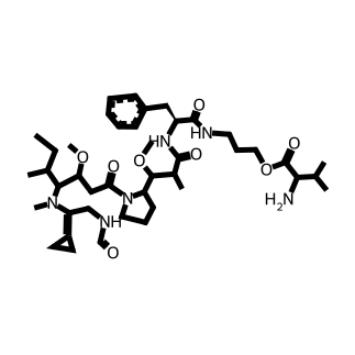 CCC(C)C(C(CC(=O)N1CCCC1C(OC)C(C)C(=O)N[C@@H](Cc1ccccc1)C(=O)NCCCOC(=O)C(N)C(C)C)OC)N(C)C(CNC=O)=C1CC1